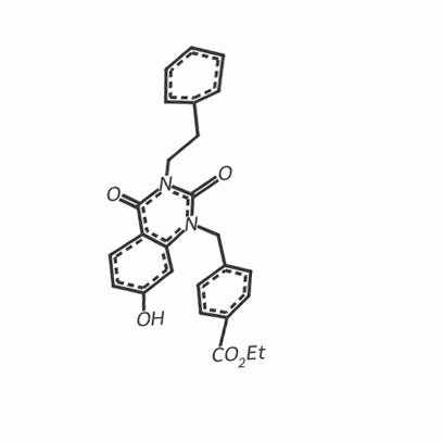 CCOC(=O)c1ccc(Cn2c(=O)n(CCc3ccccc3)c(=O)c3ccc(O)cc32)cc1